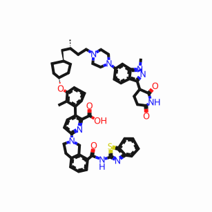 Cc1c(O[C@H]2CC[C@H](C[C@H](C)CCN3CCN(c4ccc5c(C6CCC(=O)NC6=O)nn(C)c5c4)CC3)CC2)cccc1-c1ccc(N2CCc3cccc(C(=O)Nc4nc5ccccc5s4)c3C2)nc1C(=O)O